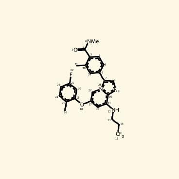 CNC(=O)c1ccc(-c2cnc3c(NCCC(F)(F)F)cc(Oc4cc(F)ccc4C)cn23)cc1C